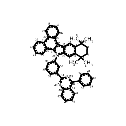 CC1(C)CCC(C)(C)c2cc3c(cc21)c1c2ccccc2c2ccccc2c1n3-c1cccc(-c2nc(-c3ccccc3)c3ccccc3n2)c1